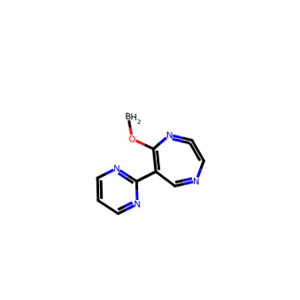 BOC1=C(c2ncccn2)C=NC=C=N1